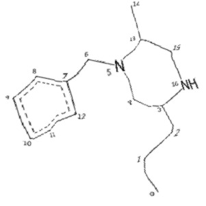 CCCC1CN(Cc2ccccc2)C(C)CN1